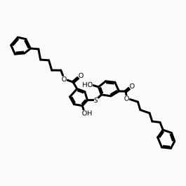 O=C(OCCCCCc1ccccc1)c1ccc(O)c(Sc2cc(C(=O)OCCCCCc3ccccc3)ccc2O)c1